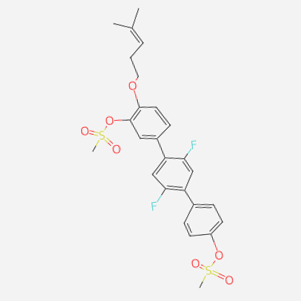 CC(C)=CCCOc1ccc(-c2cc(F)c(-c3ccc(OS(C)(=O)=O)cc3)cc2F)cc1OS(C)(=O)=O